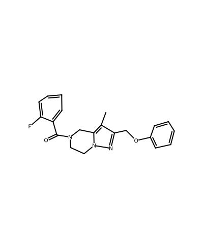 Cc1c(COc2ccccc2)nn2c1CN(C(=O)c1ccccc1F)CC2